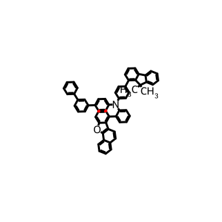 CC1(C)c2ccccc2-c2cccc(-c3ccc(N(c4ccc(-c5cccc(-c6ccccc6)c5)cc4)c4ccccc4-c4cccc5oc6c7ccccc7ccc6c45)cc3)c21